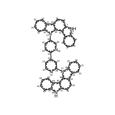 c1ccc2c(c1)[nH]c1ccc3c4ccccc4n(-c4ccc(-c5ccnc(-n6c7ccccc7c7ccc8[nH]c9ccccc9c8c76)c5)nc4)c3c12